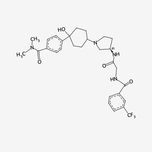 CN(C)C(=O)c1ccc(C2(O)CCC(N3CC[C@@H](NC(=O)CNC(=O)c4cccc(C(F)(F)F)c4)C3)CC2)cc1